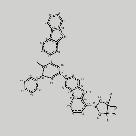 CN1C(c2ccc3c(c2)oc2ccccc23)=NC(c2ccc3oc4c(B5OC(C)(C)C(C)(C)O5)cccc4c3c2)=NC1c1ccccc1